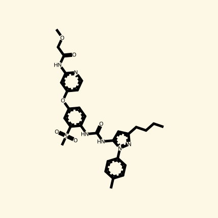 CCCCc1cc(NC(=O)Nc2ccc(Oc3ccnc(NC(=O)COC)c3)cc2S(C)(=O)=O)n(-c2ccc(C)cc2)n1